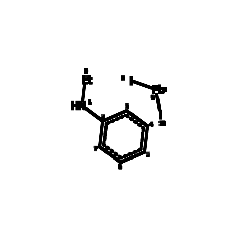 CCNc1ccccc1.[I][Pb][I]